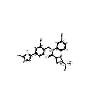 Cc1nnc(-c2ccc(CN(C(=O)C3CN([S+](C)[O-])C3)c3cccc(F)c3)c(F)c2)o1